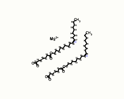 CCCCCCCC/C=C\CCCCCCCCOC(=O)CCSCCC(=O)[O-].CCCCCCCC/C=C\CCCCCCCCOC(=O)CCSCCC(=O)[O-].[Mg+2]